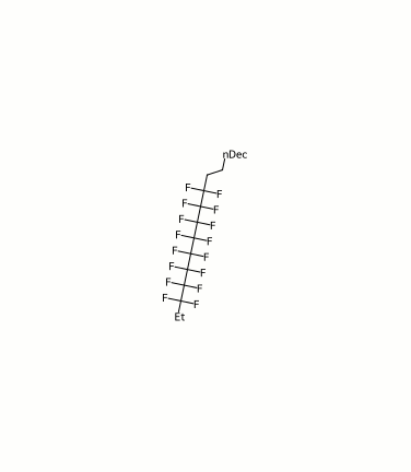 CCCCCCCCCCCCC(F)(F)C(F)(F)C(F)(F)C(F)(F)C(F)(F)C(F)(F)C(F)(F)C(F)(F)CC